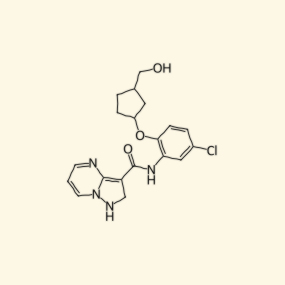 O=C(Nc1cc(Cl)ccc1OC1CCC(CO)C1)C1=C2N=CC=CN2NC1